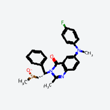 Cc1nc2ccc(N(C)c3ccc(F)cc3)cc2c(=O)n1[C@H](C[S+](C)[O-])c1ccccc1